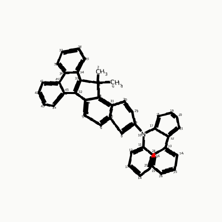 CC1(C)c2c(ccc3cc(N(c4ccccc4)c4ccccc4-c4ccccc4)ccc23)-c2c1c1ccccc1c1ccccc21